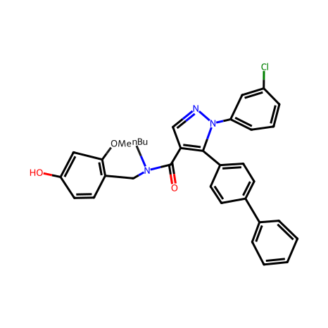 CCCCN(Cc1ccc(O)cc1OC)C(=O)c1cnn(-c2cccc(Cl)c2)c1-c1ccc(-c2ccccc2)cc1